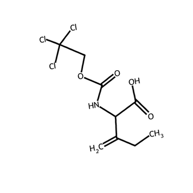 C=C(CC)C(NC(=O)OCC(Cl)(Cl)Cl)C(=O)O